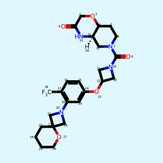 O=C1COC2CCN(C(=O)N3CC(Oc4ccc(C(F)(F)F)c(N5CC6(CCCCO6)C5)c4)C3)C[C@H]2N1